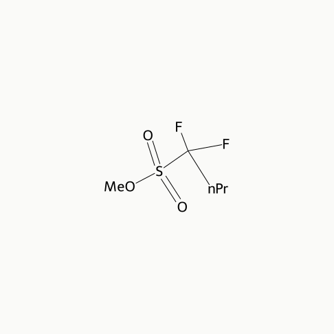 CCCC(F)(F)S(=O)(=O)OC